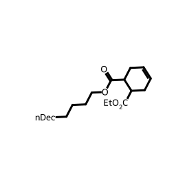 CCCCCCCCCCCCCCOC(=O)C1CC=CCC1C(=O)OCC